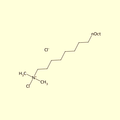 CCCCCCCCCCCCCCCC[N+](C)(C)Cl.[Cl-]